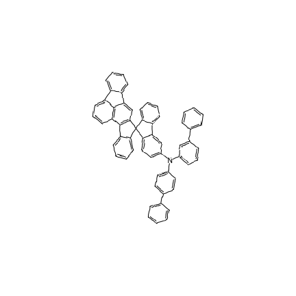 c1ccc(-c2ccc(N(c3cccc(-c4ccccc4)c3)c3ccc4c(c3)-c3ccccc3C43c4ccccc4-c4c3cc3c5c(cccc45)-c4ccccc4-3)cc2)cc1